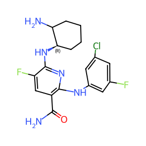 NC(=O)c1cc(F)c(N[C@@H]2CCCCC2N)nc1Nc1cc(F)cc(Cl)c1